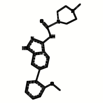 COc1ccccc1-c1ccc2c(NC(=O)N3CCN(C)CC3)n[nH]c2c1